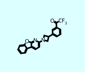 O=C(c1cccc(C2CN(c3ccc4c(n3)oc3ccccc34)C2)c1)C(F)(F)F